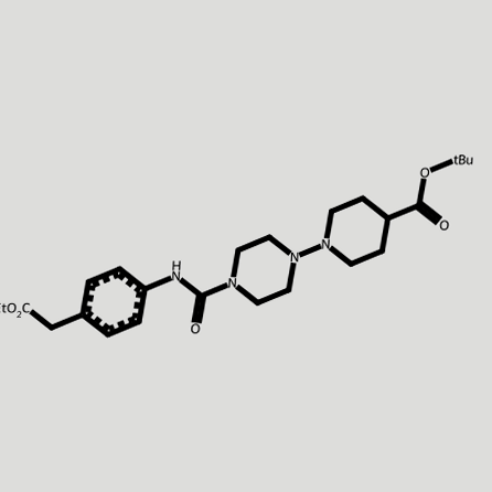 CCOC(=O)Cc1ccc(NC(=O)N2CCN(N3CCC(C(=O)OC(C)(C)C)CC3)CC2)cc1